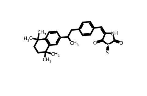 CC(Cc1ccc(C=C2NC(=O)S(=S)C2=O)cc1)c1ccc2c(c1)C(C)(C)CCC2(C)C